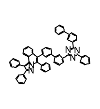 c1ccc(-c2cccc(-c3nc(-c4ccccc4)nc(-c4cccc(-c5cccc(-c6c(-c7ccccc7)n7nc(-c8ccccc8)c(-c8ccccc8)c7c7ccccc67)c5)c4)n3)c2)cc1